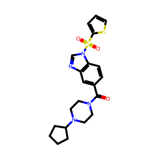 O=C(c1ccc2c(c1)ncn2S(=O)(=O)c1cccs1)N1CCN(C2CCCC2)CC1